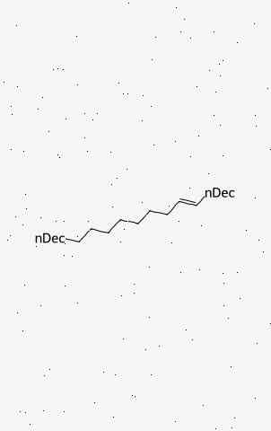 CCCCCCCCCCC=CCCCCCCCCCCCCCCCCC